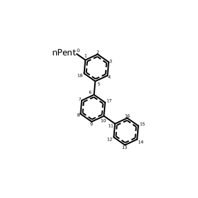 CCCCCc1cccc(-c2cccc(-c3ccccc3)c2)c1